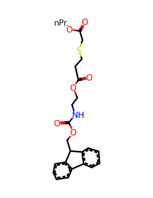 CCCOC(=O)CSCCC(=O)OCCNC(=O)OCC1c2ccccc2-c2ccccc21